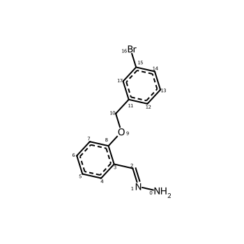 NN=Cc1ccccc1OCc1cccc(Br)c1